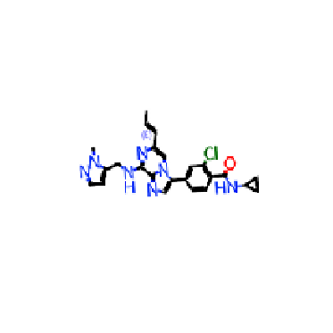 C/C=C/c1cn2c(-c3ccc(C(=O)NC4CC4)c(Cl)c3)cnc2c(NCc2ccnn2C)n1